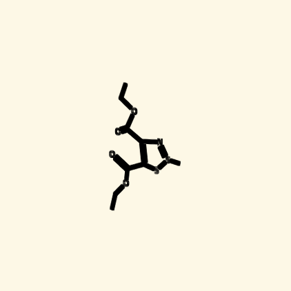 CCOC(=O)C1=C(C(=O)OCC)SS(C)=N1